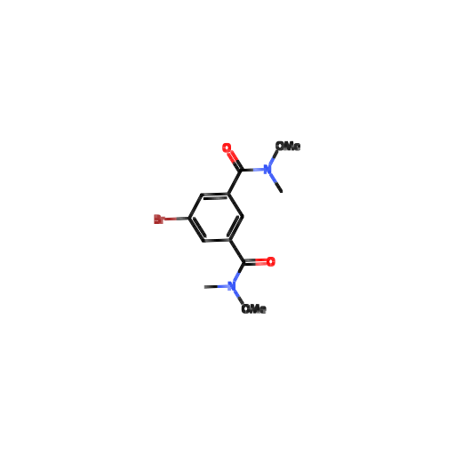 CON(C)C(=O)c1cc(Br)cc(C(=O)N(C)OC)c1